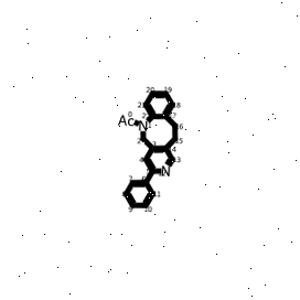 CC(=O)N1Cc2cc(-c3ccccc3)ncc2CCc2ccccc21